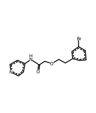 O=C(COCCc1cccc(Br)c1)Nc1ccncc1